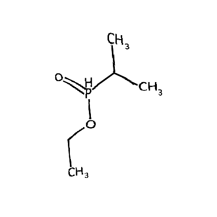 CCO[PH](=O)C(C)C